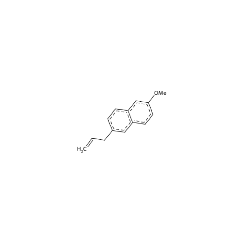 C=CCc1ccc2cc(OC)ccc2c1